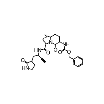 C#CC(CC1CCNC1=O)NC(=O)C1CSC2CCC(NC(=O)OCc3ccccc3)C(=O)N21